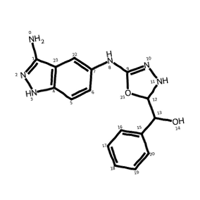 Nc1n[nH]c2ccc(NC3=NNC(C(O)c4ccccc4)O3)cc12